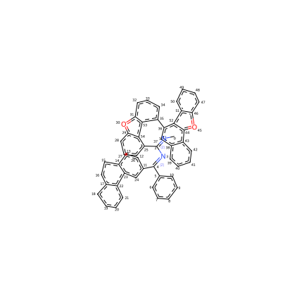 C/N=C(\N=C(\c1ccccc1)c1ccc2ccc3ccccc3c2c1)c1cccc2oc3cccc(-c4cc5ccccc5c5oc6ccccc6c45)c3c12